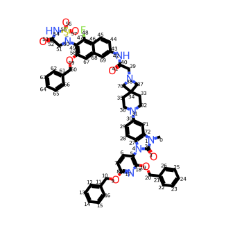 Cn1c(=O)n(-c2ccc(OCc3ccccc3)nc2OCc2ccccc2)c2ccc(N3CCC4(CC3)CN(CC(=O)Nc3ccc5c(F)c(N6CC(=O)NS6(=O)=O)c(OCc6ccccc6)cc5c3)C4)cc21